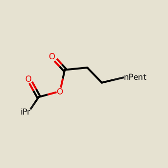 CCCCCCCC(=O)OC(=O)C(C)C